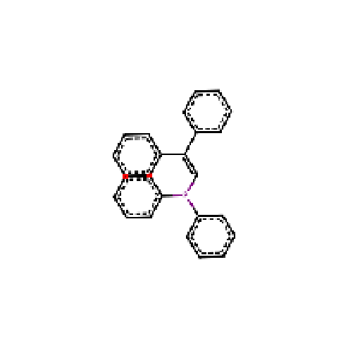 C(=C(c1ccccc1)c1ccccc1)P(c1ccccc1)c1ccccc1